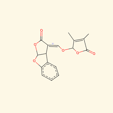 CC1=C(C)C(O/C=C2/C(=O)OC3Oc4ccccc4C23)OC1=O